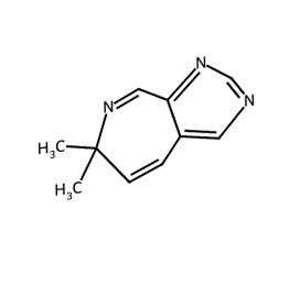 CC1(C)C=Cc2cncnc2C=N1